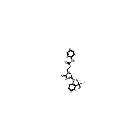 O=C(CCC1SC(Nc2ccccc2C(F)(F)F)=NC1=O)Nc1ccccc1